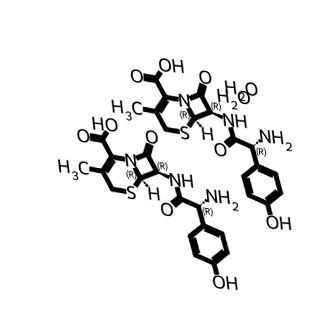 CC1=C(C(=O)O)N2C(=O)[C@@H](NC(=O)[C@H](N)c3ccc(O)cc3)[C@H]2SC1.CC1=C(C(=O)O)N2C(=O)[C@@H](NC(=O)[C@H](N)c3ccc(O)cc3)[C@H]2SC1.O.O